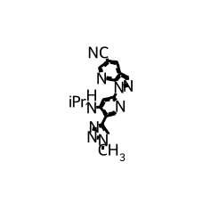 CC(C)Nc1cc(-n2ncc3cc(C#N)cnc32)ncc1-c1cn(C)nn1